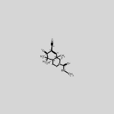 CNC(=O)N1CC[C@H]2C(C)(C)C(=O)C(C#N)=C[C@]2(C)C1